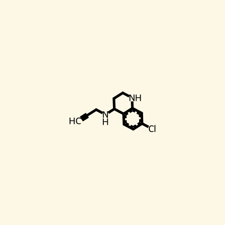 C#CCNC1CCNc2cc(Cl)ccc21